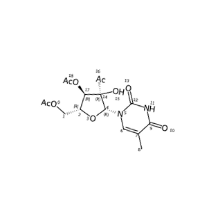 CC(=O)OC[C@H]1O[C@@H](n2cc(C)c(=O)[nH]c2=O)[C@@](O)(C(C)=O)[C@@H]1OC(C)=O